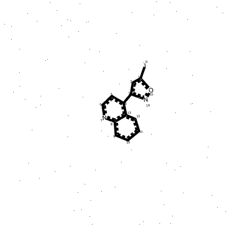 Ic1cc(-c2ccnc3ccccc23)no1